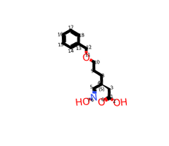 O=C(O)C[C@@H](C=NO)CCCOCc1ccccc1